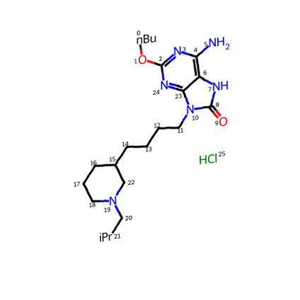 CCCCOc1nc(N)c2[nH]c(=O)n(CCCCC3CCCN(CC(C)C)C3)c2n1.Cl